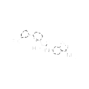 Nc1noc2cc(NC(=O)C(O)c3cccc(-c4cccc(C(F)(F)F)c4)n3)ccc12